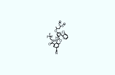 Cc1cc(C#N)cc(C(=O)NCC(F)(F)F)c1NC(=O)c1cc(OC(C)CC([S+]=O)[S+]=O)nn1-c1ncccc1Cl